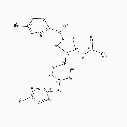 CC(C)c1ccc(C(=O)N2C[C@H](OC(=O)C(F)(F)F)[C@@H](N3CCN(Cc4ccc(Cl)cc4)CC3)C2)cc1